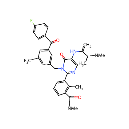 C=C(Nc1cnc(-c2cccc(C(=O)NC)c2C)n(Cc2cc(C(=O)c3ccc(F)cc3)cc(C(F)(F)F)c2)c1=O)[C@H](C)NC